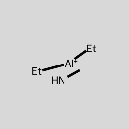 C[CH2][Al+][CH2]C.C[NH-]